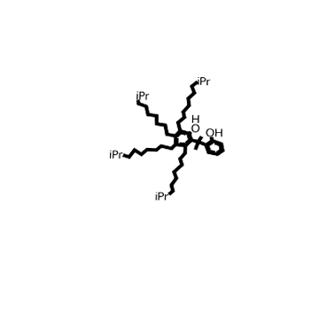 CC(C)CCCCCCCc1c(O)c(C(C)(C)c2ccccc2O)c(CCCCCCCC(C)C)c(CCCCCCCC(C)C)c1CCCCCCCC(C)C